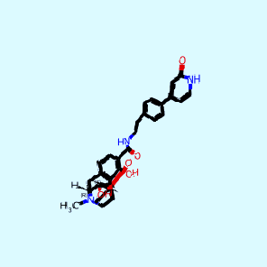 CN1CCC23CC(=O)CC[C@@]2(O)[C@H]1Cc1ccc(C(=O)NCCc2ccc(-c4cc[nH]c(=O)c4)cc2)c(O)c13